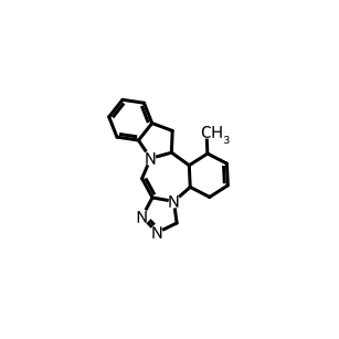 CC1C=CCC2C1C1Cc3ccccc3N1C=C1N=NCN12